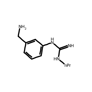 CCCNC(=N)Nc1cccc(CN)c1